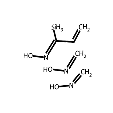 C=CC([SiH3])=NO.C=NO.C=NO